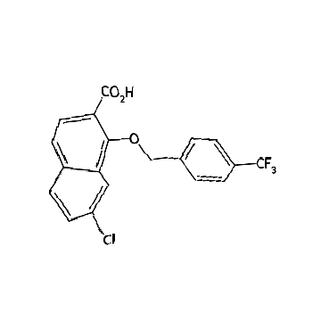 O=C(O)c1ccc2ccc(Cl)cc2c1OCc1ccc(C(F)(F)F)cc1